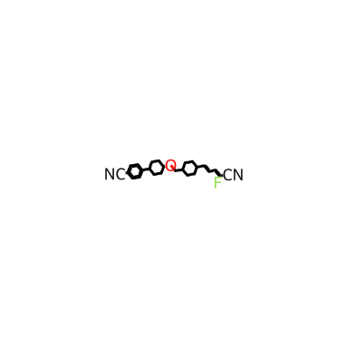 N#CC(F)=CC=CC1CCC(COC2CCC(c3ccc(C#N)cc3)CC2)CC1